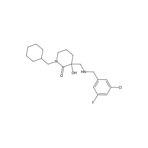 O=C1N(CC2CCCCC2)CCCC1(O)CNCc1cc(F)cc(Cl)c1